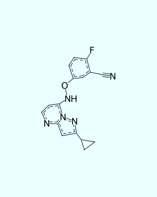 N#Cc1cc(ONc2ccnc3cc(C4CC4)nn23)ccc1F